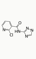 O=C(NC1=N[N]C=N1)c1cccnc1Cl